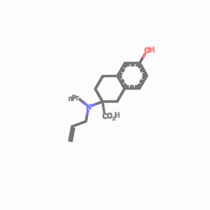 C=CCN(CCC)C1(C(=O)O)CCc2cc(O)ccc2C1